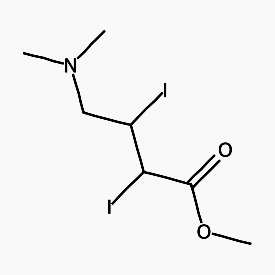 COC(=O)C(I)C(I)CN(C)C